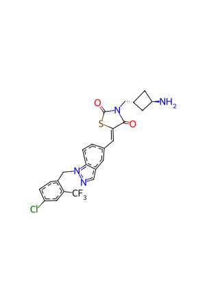 N[C@H]1C[C@H](CN2C(=O)S/C(=C\c3ccc4c(cnn4Cc4ccc(Cl)cc4C(F)(F)F)c3)C2=O)C1